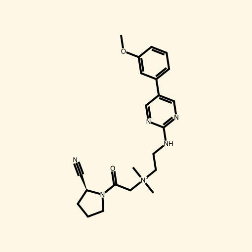 COc1cccc(-c2cnc(NCC[N+](C)(C)CC(=O)N3CCC[C@H]3C#N)nc2)c1